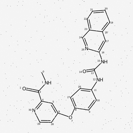 CNC(=O)c1cc(Oc2ccc(NC(=O)Nc3cc4ccccc4cn3)cc2)ccn1